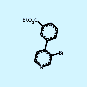 CCOC(=O)c1cccc(-c2ccncc2Br)c1